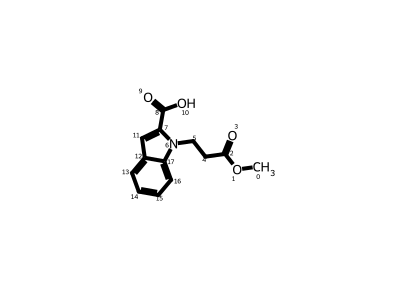 COC(=O)CCn1c(C(=O)O)cc2ccccc21